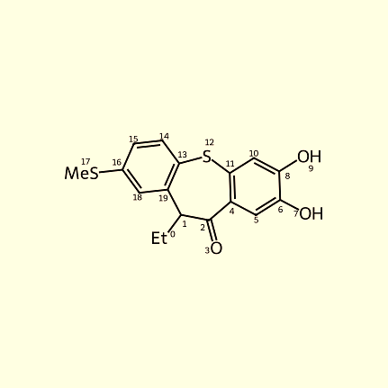 CCC1C(=O)c2cc(O)c(O)cc2Sc2ccc(SC)cc21